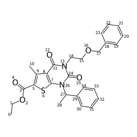 CCOC(=O)c1sc2c(c1C)c(=O)n(CCOCc1ccccc1)c(=O)n2C(C)c1ccccc1